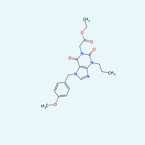 CCCn1c(=O)n(CC(=O)OCC)c(=O)c2c1ncn2Cc1ccc(OC)cc1